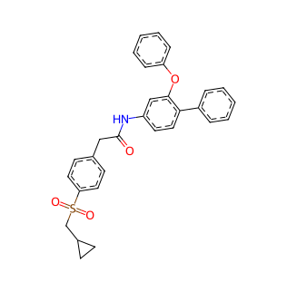 O=C(Cc1ccc(S(=O)(=O)CC2CC2)cc1)Nc1ccc(-c2ccccc2)c(Oc2ccccc2)c1